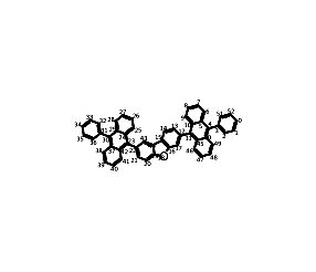 c1ccc(-c2c3ccccc3c(-c3ccc4c(c3)oc3ccc(-c5c6ccccc6c(-c6ccccc6)c6ccccc56)cc34)c3ccccc23)cc1